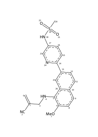 C=C(C#N)CNc1c(OC)ccc2ccc(-c3ccc(NS(C)(=O)=O)cn3)cc12